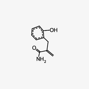 C=C(Cc1ccccc1O)C(N)=O